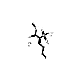 CCCC=C(C(=O)OC)S(=O)(=O)O.[KH]